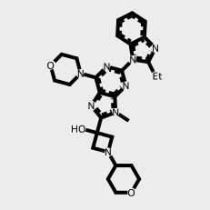 CCc1nc2ccccc2n1-c1nc(N2CCOCC2)c2nc(C3(O)CN(C4CCOCC4)C3)n(C)c2n1